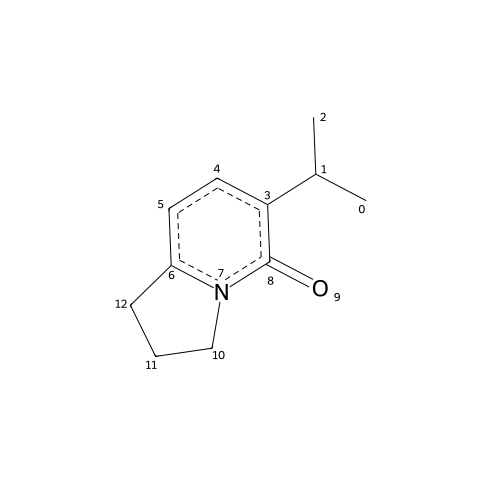 CC(C)c1ccc2n(c1=O)CCC2